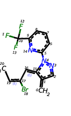 C=c1cnn(-c2cccc(C(F)(F)F)n2)/c1=C/C(Br)=C\C